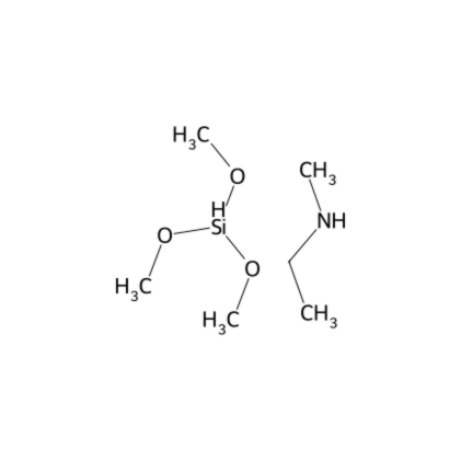 CCNC.CO[SiH](OC)OC